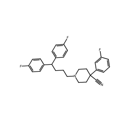 N#CC1(c2cccc(F)c2)CCN(CCCC(c2ccc(F)cc2)c2ccc(F)cc2)CC1